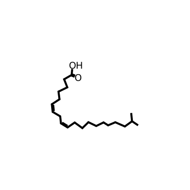 CC(C)CCCCCCCC/C=C\C/C=C\CCCCC(=O)O